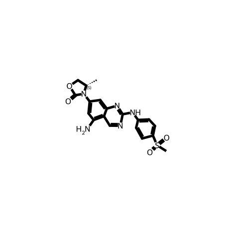 C[C@H]1COC(=O)N1c1cc(N)c2cnc(Nc3ccc(S(C)(=O)=O)cc3)nc2c1